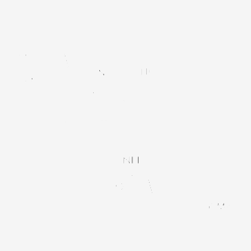 COc1ccc(CCC(=O)NCCCC(CCCN2CCCCC23CCc2cc4c(cc2C3)OCO4)(c2ccccc2)c2ccccc2)cc1.Cl